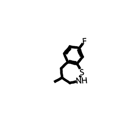 CC1CNSc2cc(F)ccc2C1